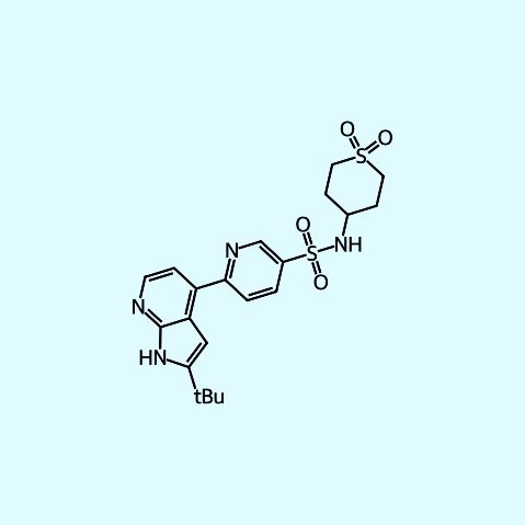 CC(C)(C)c1cc2c(-c3ccc(S(=O)(=O)NC4CCS(=O)(=O)CC4)cn3)ccnc2[nH]1